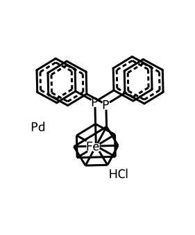 Cl.[Pd].c1ccc(P(c2ccccc2)[C]23[CH]4[CH]5[CH]6[CH]2[Fe]56432789[CH]3[CH]2[CH]7[C]8(P(c2ccccc2)c2ccccc2)[CH]39)cc1